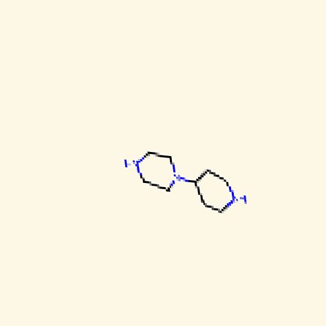 C1CC(N2CCNCC2)CCN1